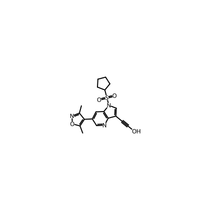 Cc1noc(C)c1-c1cnc2c(C#CO)cn(S(=O)(=O)C3CCCC3)c2c1